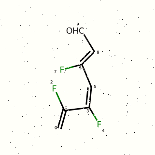 C=C(F)/C(F)=C\C(F)=C\C=O